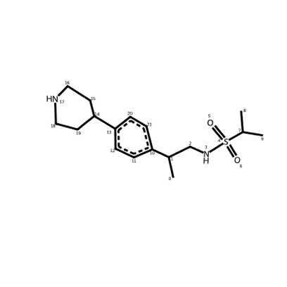 CC(CNS(=O)(=O)C(C)C)c1ccc(C2CCNCC2)cc1